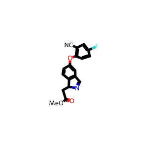 COC(=O)CC1N=Cc2cc(Oc3ccc(F)cc3C#N)ccc21